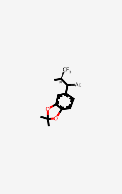 CC(=O)C(c1ccc2c(c1)OC(C)(C)O2)[C@@H](C)C(F)(F)F